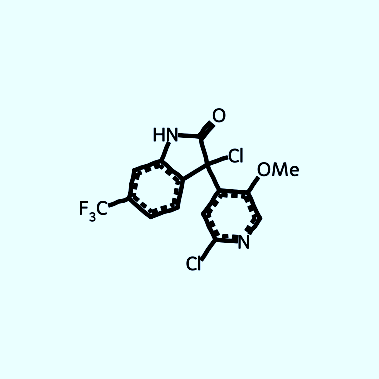 COc1cnc(Cl)cc1C1(Cl)C(=O)Nc2cc(C(F)(F)F)ccc21